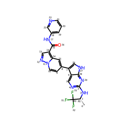 C[C@@H](Nc1ncc2c(-c3ccn4ncc(C(=O)Nc5cccnc5)c4c3)c[nH]c2n1)C(F)(F)F